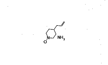 C=CCC1CCN([O])CC1.N